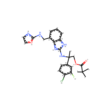 CC(C)(C)C(=O)OCC(C)(Nc1nc2c(CNc3ncco3)cccc2[nH]1)c1ccc(Cl)c(F)c1